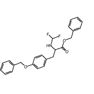 O=C(OCc1ccccc1)C(Cc1ccc(OCc2ccccc2)cc1)NC(F)F